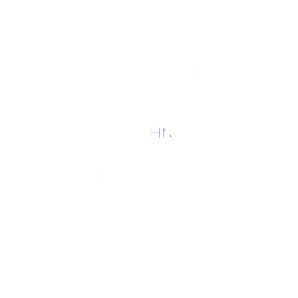 CC(=O)CNC=S